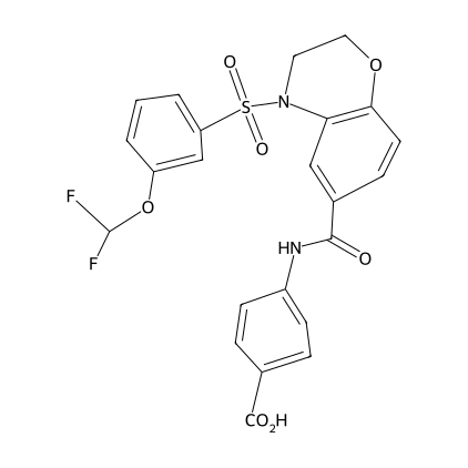 O=C(O)c1ccc(NC(=O)c2ccc3c(c2)N(S(=O)(=O)c2cccc(OC(F)F)c2)CCO3)cc1